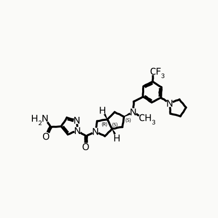 CN(Cc1cc(N2CCCC2)cc(C(F)(F)F)c1)[C@H]1C[C@@H]2CN(C(=O)n3cc(C(N)=O)cn3)C[C@@H]2C1